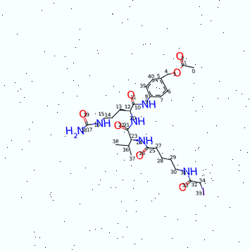 CC(=O)OCc1ccc(NC(=O)[C@H](CCCNC(N)=O)NC(=O)[C@@H](NC(=O)CCCCNC(=O)CI)C(C)C)cc1